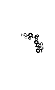 O=C(O)C1=CC=CC(C[C@@H]2COCN2c2ccc3cc(-c4ccccc4C(F)(F)F)[nH]c(=O)c3c2)C1=O